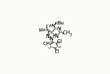 CCCCN(CC)c1nc(C)nc2c1c(SC)nn2-c1c(Cl)cc(Cl)cc1Cl